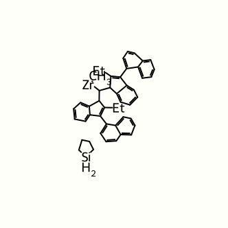 C1CC[SiH2]C1.CCC1=C(c2cccc3ccccc23)c2ccccc2C1[CH]([Zr][CH3])C1C(CC)=C(c2cccc3ccccc23)c2ccccc21